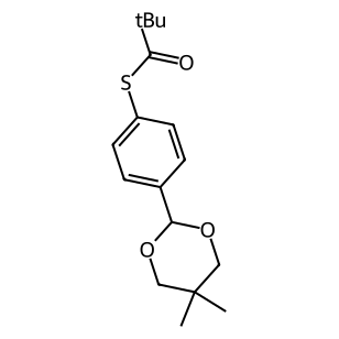 CC1(C)COC(c2ccc(SC(=O)C(C)(C)C)cc2)OC1